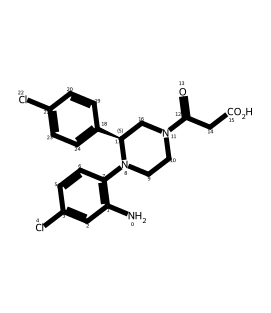 Nc1cc(Cl)ccc1N1CCN(C(=O)CC(=O)O)C[C@@H]1c1ccc(Cl)cc1